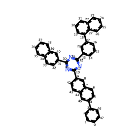 c1ccc(-c2ccc3cc(-c4nc(-c5cccc(-c6cccc7ccccc67)c5)nc(-c5ccc6ccccc6c5)n4)ccc3c2)cc1